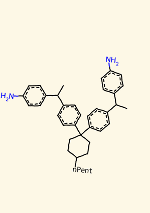 CCCCCC1CCC(c2ccc(C(C)c3ccc(N)cc3)cc2)(c2ccc(C(C)c3ccc(N)cc3)cc2)CC1